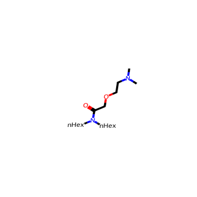 CCCCCCN(CCCCCC)C(=O)COCCN(C)C